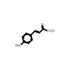 CCOC(=O)C(=O)/C=C/c1ccc(C=O)cc1